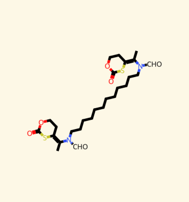 CC(=C1CCOC(=O)S1)N(C=O)CCCCCCCCCCCCN(C=O)C(C)=C1CCOC(=O)S1